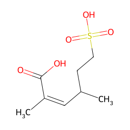 CC(=CC(C)CCS(=O)(=O)O)C(=O)O